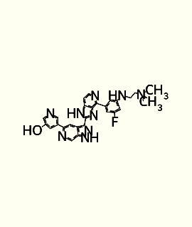 CN(C)CCNc1cc(F)cc(-c2nccc3[nH]c(-c4n[nH]c5cnc(-c6cncc(O)c6)cc45)nc23)c1